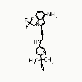 CC(C)(C#N)c1ccc(NCC#Cc2cc3c(N)cccc3n2CC(F)(F)F)cn1